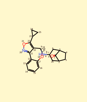 O=C1C2CCC1CC(NCc1c(-c3ccccc3OC(F)(F)F)noc1C1CC1)C2